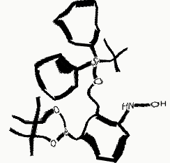 CC1(C)OB(c2cccc(NO)c2CO[Si](c2ccccc2)(c2ccccc2)C(C)(C)C)OC1(C)C